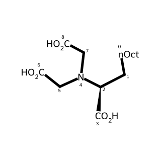 CCCCCCCCC[C@@H](C(=O)O)N(CC(=O)O)CC(=O)O